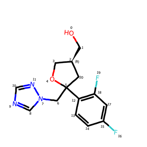 OC[C@@H]1COC(Cn2cncn2)(c2ccc(F)cc2F)C1